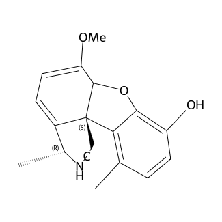 COC1=CC=C2[C@@H](C)NCC[C@@]23c2c(C)ccc(O)c2OC13